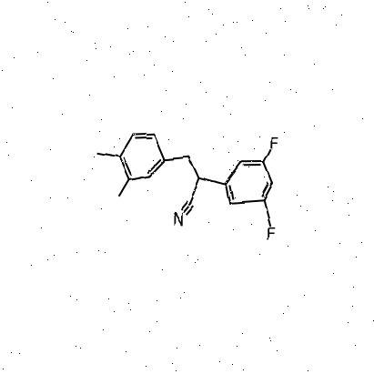 Cc1ccc(CC(C#N)c2cc(F)cc(F)c2)cc1C